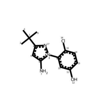 CC(C)(C)c1cc(N)n(-c2cc(O)ccc2Cl)n1